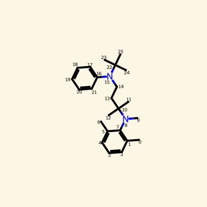 Cc1cccc(C)c1N(C)C(C)(C)CCN(c1ccccc1)C(C)(C)C